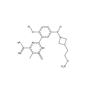 CCCC(=N)c1nc(-c2cc([S+]([O-])N3CC(CCO[N+](=O)[O-])C3)ccc2OCC)[nH]c(=O)c1C